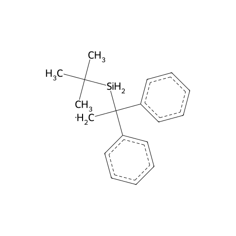 [CH2]C([SiH2]C(C)(C)C)(c1ccccc1)c1ccccc1